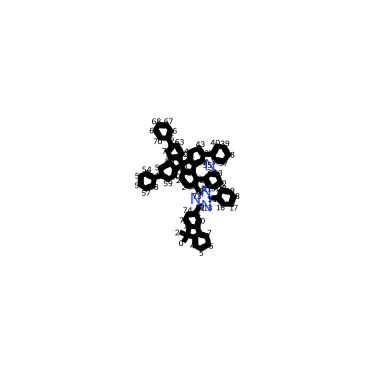 CC1(C)c2ccccc2-c2cc(-c3nc(-c4ccccc4)nc(-c4ccc5c6c4-c4ccccc4-n4c7ccccc7c7ccc(c-6c74)C5(c4ccc(-c5ccccc5)cc4)c4ccc(-c5ccccc5)cc4)n3)ccc21